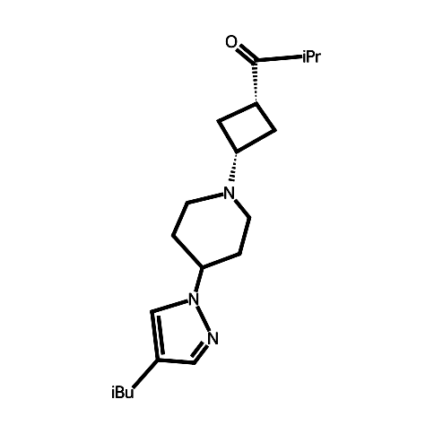 CCC(C)c1cnn(C2CCN([C@H]3C[C@@H](C(=O)C(C)C)C3)CC2)c1